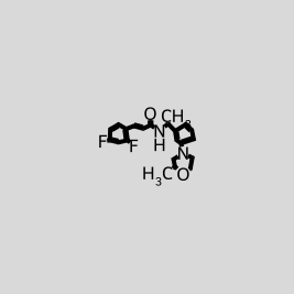 CC1CN(c2cccc(C(C)NC(=O)C=Cc3ccc(F)cc3F)c2)CCO1